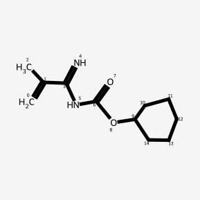 C=C(C)C(=N)NC(=O)OC1CCCCC1